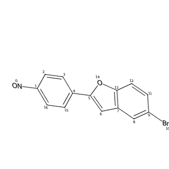 O=Nc1ccc(-c2cc3cc(Br)ccc3o2)cc1